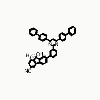 CC1(C)c2ccc(C#N)cc2-c2ccc(-c3cccc(-c4nc(-c5ccc(-c6ccccc6)cc5)cc(-c5ccc(-c6ccccc6)cc5)n4)c3)cc21